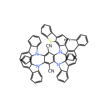 CCCc1ccccc1-c1cccc2c1c1ccc3c4ccccc4sc3c1n2-c1c(C#N)c(-n2c3ccccc3c3ccccc32)c(-n2c3ccccc3c3ccccc32)c(C#N)c1-n1c2ccccc2c2ccccc21